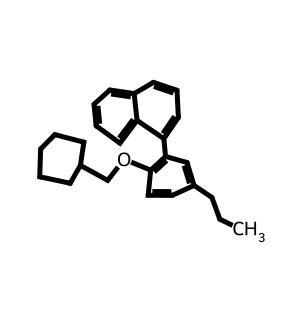 CCCc1ccc(OCC2CCCCC2)c(-c2cccc3ccccc23)c1